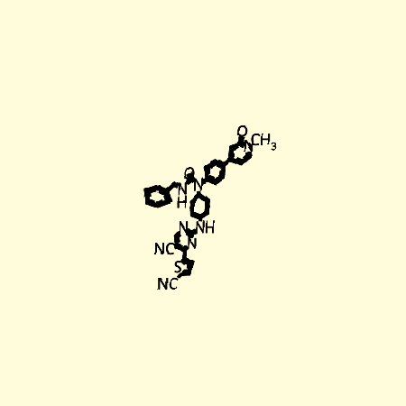 Cn1ccc(-c2ccc(N(C(=O)NCc3ccccc3)C3CCC(Nc4ncc(C#N)c(-c5ccc(C#N)s5)n4)CC3)cc2)cc1=O